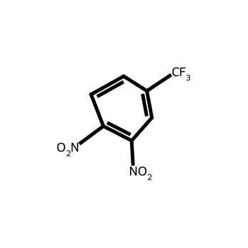 O=[N+]([O-])c1ccc(C(F)(F)F)cc1[N+](=O)[O-]